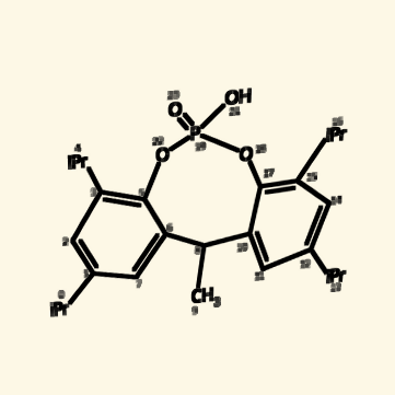 CC(C)c1cc(C(C)C)c2c(c1)C(C)c1cc(C(C)C)cc(C(C)C)c1OP(=O)(O)O2